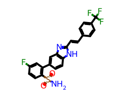 NS(=O)(=O)c1ccc(F)cc1-c1ccc2[nH]c(C=Cc3ccc(C(F)(F)F)cc3)nc2c1